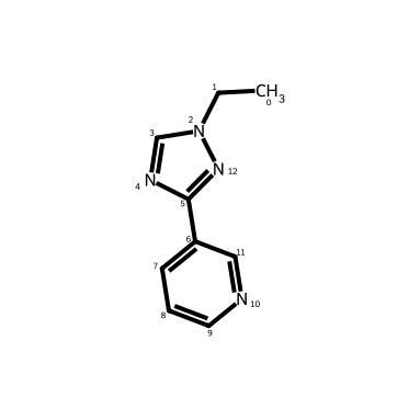 CCn1cnc(-c2cccnc2)n1